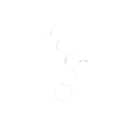 COC(=O)/C=C/C1=NC(=C\c2ccc(O)cc2)/C(=O)N1C